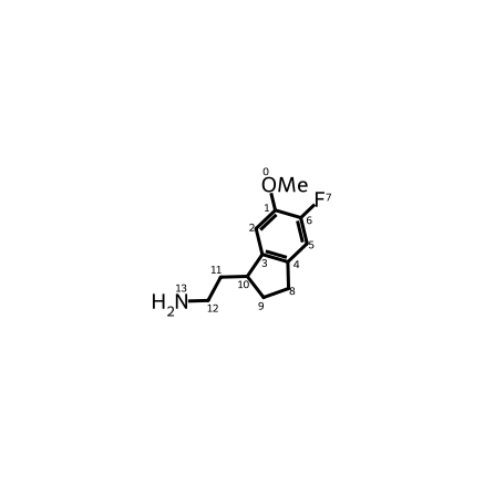 COc1cc2c(cc1F)CCC2CCN